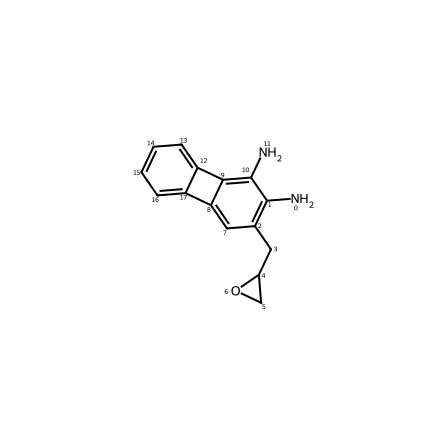 Nc1c(CC2CO2)cc2c(c1N)-c1ccccc1-2